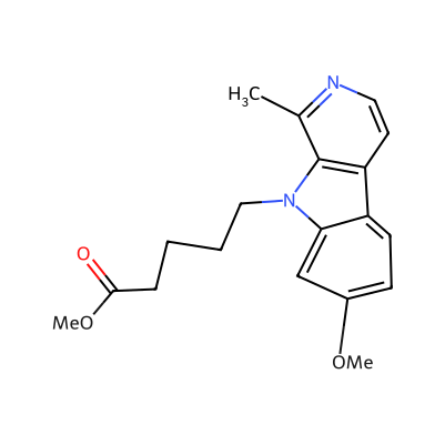 COC(=O)CCCCn1c2cc(OC)ccc2c2ccnc(C)c21